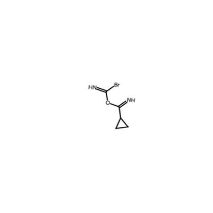 N=C(Br)OC(=N)C1CC1